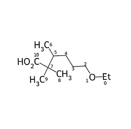 CCOCCCC(C)C(C)(C)C(=O)O